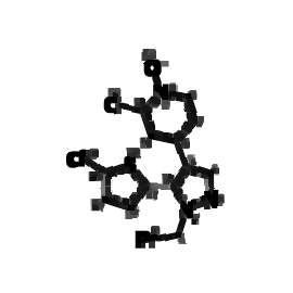 CC(C)Cn1ncc(-c2cc[n+]([O-])c(Cl)c2)c1-c1ccc(Cl)s1